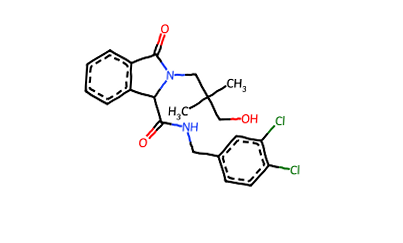 CC(C)(CO)CN1C(=O)c2ccccc2C1C(=O)NCc1ccc(Cl)c(Cl)c1